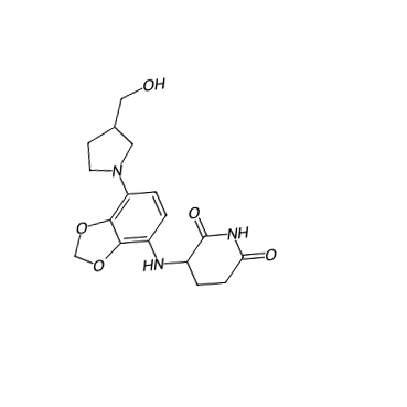 O=C1CCC(Nc2ccc(N3CCC(CO)C3)c3c2OCO3)C(=O)N1